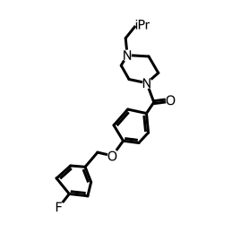 CC(C)CN1CCN(C(=O)c2ccc(OCc3ccc(F)cc3)cc2)CC1